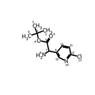 CC(C)(C)OC(=O)C(N)c1ccc(Cl)nc1